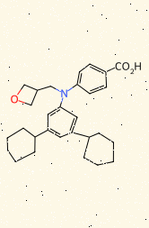 O=C(O)c1ccc(N(CC2COC2)c2cc(C3CCCCC3)cc(C3CCCCC3)c2)cc1